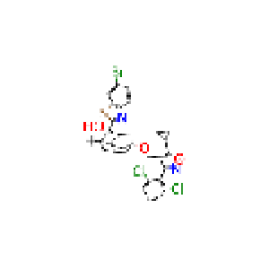 O[C@]1(c2nc3ccc(Br)cc3s2)C2CC3C[C@H]1C[C@](OCc1c(-c4c(Cl)cccc4Cl)noc1C1CC1)(C3)C2